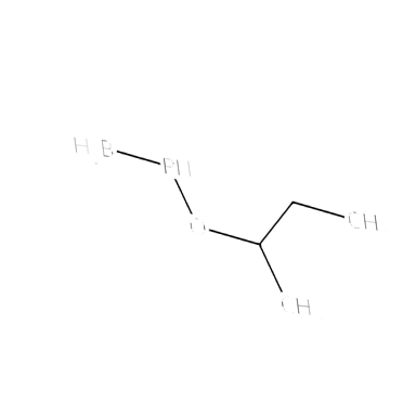 BPOC(C)CC